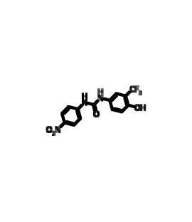 O=C(Nc1ccc([N+](=O)[O-])cc1)Nc1ccc(O)c(C(F)(F)F)c1